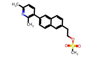 Cc1ccc(-c2ccc3cc(CCOS(C)(=O)=O)ccc3c2)c(C)n1